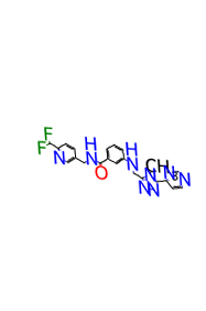 Cn1c(CNc2cccc(C(=O)NCc3ccc(C(F)F)nc3)c2)nnc1-c1ccncn1